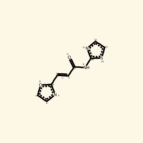 O=C(/C=C/c1ncco1)Nc1nccs1